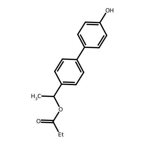 CCC(=O)OC(C)c1ccc(-c2ccc(O)cc2)cc1